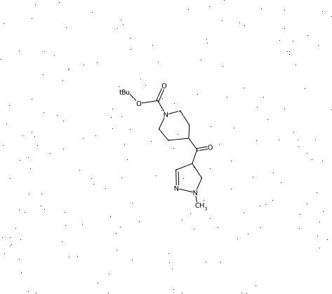 CN1CC(C(=O)C2CCN(C(=O)OC(C)(C)C)CC2)C=N1